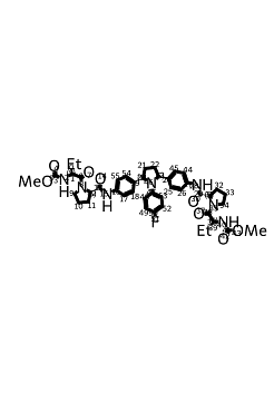 CC[C@H](NC(=O)OC)C(=O)N1CCC[C@H]1C(=O)Nc1ccc([C@@H]2CC[C@@H](c3ccc(NC(=O)[C@@H]4CCCN4C(=O)[C@H](CC)NC(=O)OC)cc3)N2c2ccc(F)cc2)cc1